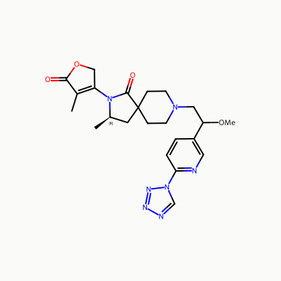 COC(CN1CCC2(CC1)C[C@@H](C)N(C1=C(C)C(=O)OC1)C2=O)c1ccc(-n2cnnn2)nc1